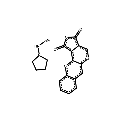 CCCNN1CCCC1.O=c1oc(=O)c2c3oc4ccccc4cc-3scc1-2